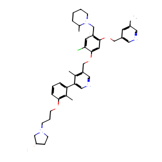 Cc1c(COc2cc(OCc3cncc(C#N)c3)c(CN3CCCCC3C(=O)O)cc2Cl)cncc1-c1cccc(OCCCN2CC[C@@H](O)C2)c1C